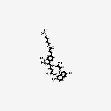 CC[C@H](C)C(=O)O[C@H]1C[C@H](O)C=C2C=C[C@H](C)[C@H](CCC(O)C[C@H](O)CC(OO)c3ccc(/C=C/C(=O)OCCCCO[N+](=O)[O-])cc3OC)[C@H]21